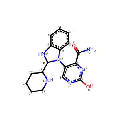 NC(=O)c1nc(O)ncc1N1c2ccccc2NC1C1CCCCN1